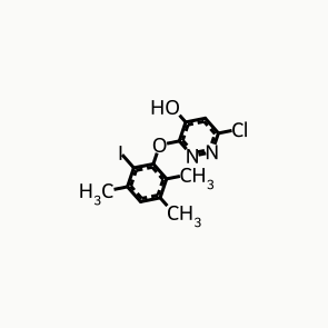 Cc1cc(C)c(I)c(Oc2nnc(Cl)cc2O)c1C